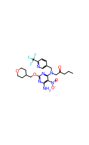 CCCC(=O)CN(Cc1ccc(C(F)(F)F)nc1)c1nc(OCC2CCOCC2)nc(N)c1[N+](=O)[O-]